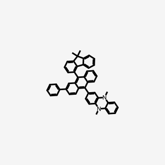 CN1c2ccccc2N(C)c2cc(-c3c4ccccc4c(-c4cccc5c4-c4ccccc4C5(C)C)c4cc(-c5ccccc5)ccc34)ccc21